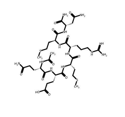 CSCC[C@H](NC(=O)[C@H](CCCNC(=N)N)NC(=O)[C@H](CCSC)NC(=O)[C@H](CCC(=O)O)NC(=O)[C@H](CCC(N)=O)NC(C)=O)C(=O)N[C@@H](CC(N)=O)C(N)=O